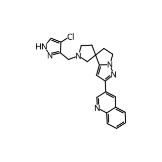 Clc1c[nH]nc1CN1CCC2(CCn3nc(-c4cnc5ccccc5c4)cc32)C1